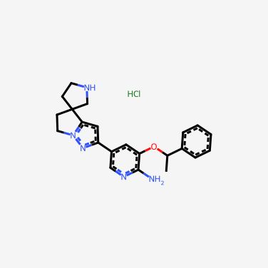 CC(Oc1cc(-c2cc3n(n2)CCC32CCNC2)cnc1N)c1ccccc1.Cl